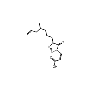 C=CCC(C)CCCn1nnn(/C=C\C(=O)O)c1=O